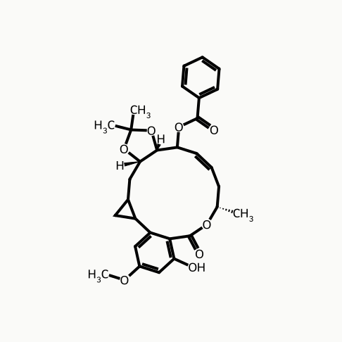 COc1cc(O)c2c(c1)C1CC1C[C@@H]1OC(C)(C)O[C@@H]1C(OC(=O)c1ccccc1)/C=C\C[C@H](C)OC2=O